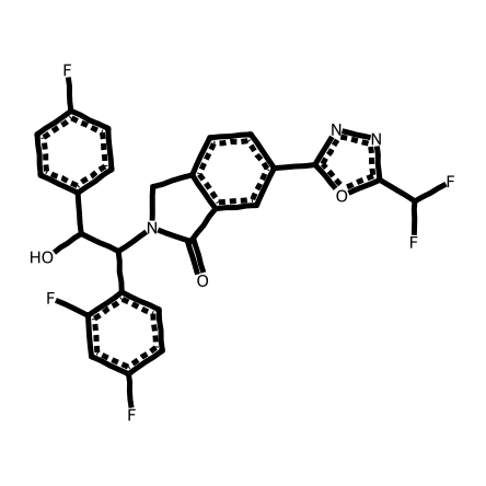 O=C1c2cc(-c3nnc(C(F)F)o3)ccc2CN1C(c1ccc(F)cc1F)C(O)c1ccc(F)cc1